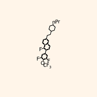 CCCC1CCC(CCc2ccc3c(F)c(-c4cc(F)c(OC(F)(F)F)c(F)c4)ccc3c2)CC1